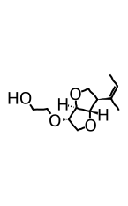 C/C=C(/C)[C@@H]1CO[C@H]2[C@H]1OC[C@@H]2OCCO